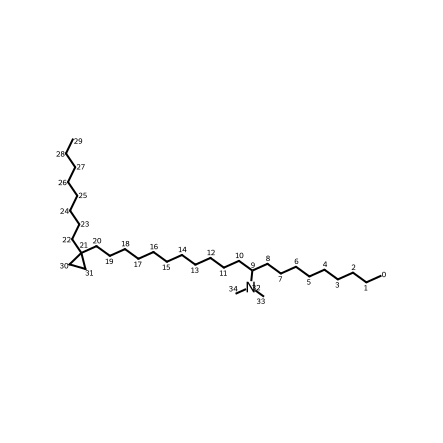 CCCCCCCCCC(CCCCCCCCCCCC1(CCCCCCCC)CC1)N(C)C